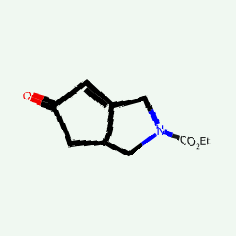 CCOC(=O)N1CC2=CC(=O)CC2C1